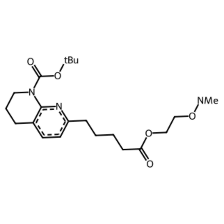 CNOCCOC(=O)CCCCc1ccc2c(n1)N(C(=O)OC(C)(C)C)CCC2